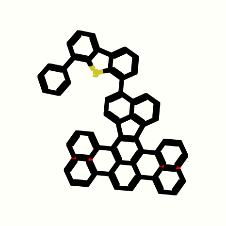 c1ccc(-c2cccc3c2sc2c(-c4ccc5c6c(cccc46)-c4c-5c(-c5ccccc5)c5c(-c6ccccc6)ccc(-c6ccccc6)c5c4-c4ccccc4)cccc23)cc1